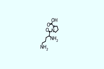 NCCCC(N)C(=O)N1CCC[C@@H]1C(=O)O